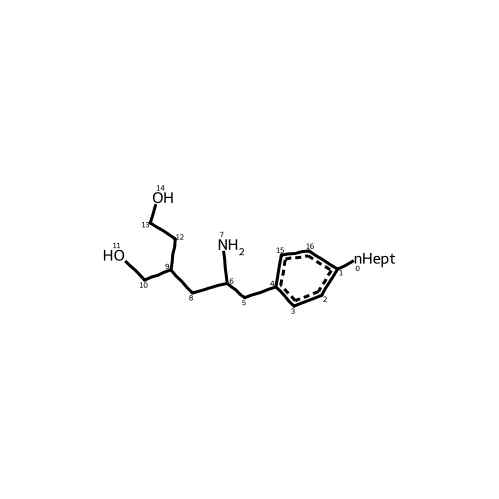 CCCCCCCc1ccc(CC(N)CC(CO)CCO)cc1